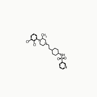 CC1CN(CCC2CCC(NS(=O)(=O)c3cccnc3)CC2)CCN1c1cccc(Cl)c1Cl